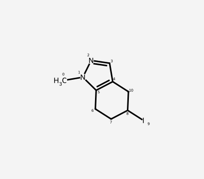 Cn1ncc2c1CCC(I)C2